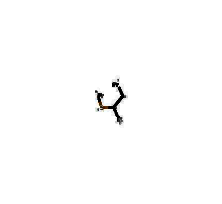 CCC(CC(C)C)SC(C)C